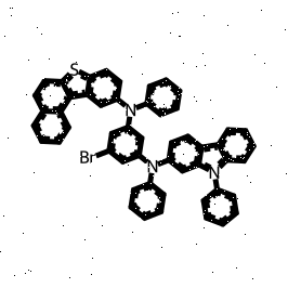 Brc1cc(N(c2ccccc2)c2ccc3sc4ccc5ccccc5c4c3c2)cc(N(c2ccccc2)c2ccc3c4ccccc4n(-c4ccccc4)c3c2)c1